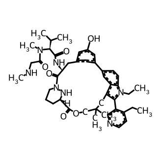 CCc1ccncc1-c1c2c3cc(ccc3n1CC)-c1cc(O)cc(c1)C[C@H](NC(=O)[C@H](C(C)C)N(C)C(=O)CNC)C(=O)N1CCC[C@H](N1)C(=O)OCC(C)(C)C2